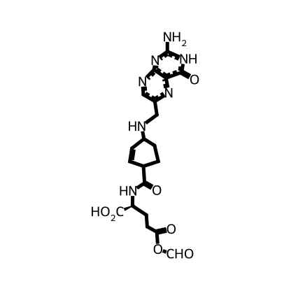 Nc1nc2ncc(CNC3C=CC(C(=O)N[C@@H](CCC(=O)OC=O)C(=O)O)CC3)nc2c(=O)[nH]1